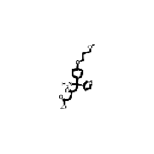 COCCCOc1ccc(C(N)(CC(=O)CC(=O)OC)c2ccsc2)cc1